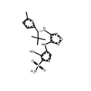 Cc1ccc([C@H](Nc2nsnc2Nc2csc(S(N)(=O)=O)c2O)C(C)(C)C)s1